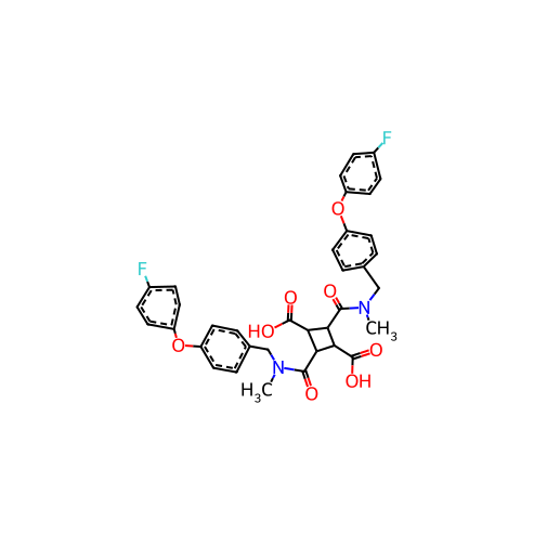 CN(Cc1ccc(Oc2ccc(F)cc2)cc1)C(=O)C1C(C(=O)O)C(C(=O)N(C)Cc2ccc(Oc3ccc(F)cc3)cc2)C1C(=O)O